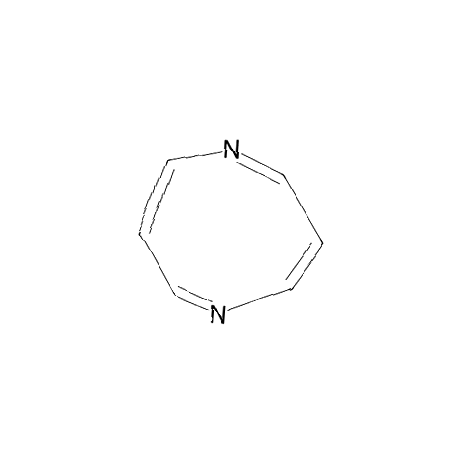 C1=CN=CC=CN=C1